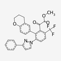 COC(=O)C(=O)c1c(C(F)(F)F)ccc(-n2ccc(-c3ccccc3)n2)c1-c1ccc2c(c1)CCCO2